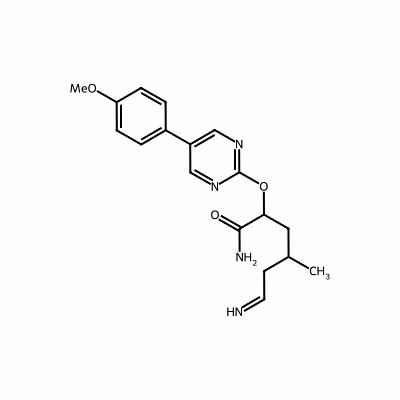 COc1ccc(-c2cnc(OC(CC(C)CC=N)C(N)=O)nc2)cc1